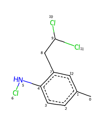 Cc1ccc(NCl)c(CC(Cl)Cl)c1